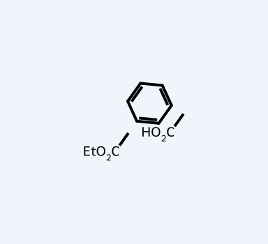 CC(=O)O.CCOC(C)=O.c1ccccc1